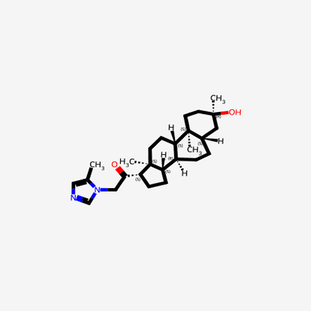 Cc1cncn1CC(=O)[C@H]1CC[C@H]2[C@@H]3CC[C@H]4C[C@](C)(O)CC[C@]4(C)[C@H]3CC[C@]12C